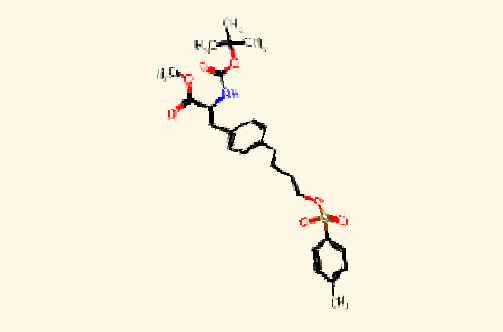 COC(=O)C(Cc1ccc(CCCCOS(=O)(=O)c2ccc(C)cc2)cc1)NC(=O)OC(C)(C)C